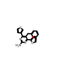 Nc1nc(-c2ccsc2)c(Cc2ccccc2)c(-c2ccco2)n1